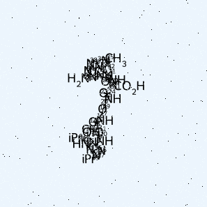 CC(C)[C@H](CO)Nc1nc(Nc2ccc(C(=O)NCCOCCNC(=O)CC[C@H](NC(=O)c3ccc(N(C)Cc4cnc5nc(N)nc(N)c5n4)cc3)C(=O)O)c(Cl)c2)c2ncn(C(C)C)c2n1